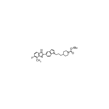 Cc1c(F)ccc2[nH]c(-c3ccc4c(ccn4CCCC4CCN(C(=O)OC(C)(C)C)CC4)c3)nc12